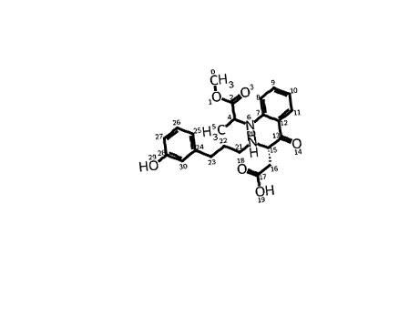 COC(=O)C(C)Nc1ccccc1C(=O)[C@H](CC(=O)O)NCCCc1cccc(O)c1